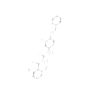 O=C(NC(=O)c1c(F)cccc1F)Nc1ccc(SCc2ccccc2)c(Cl)c1